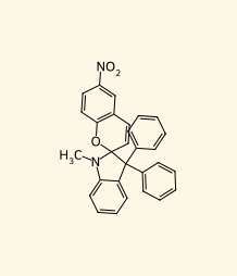 CN1c2ccccc2C(c2ccccc2)(c2ccccc2)C12C=Cc1cc([N+](=O)[O-])ccc1O2